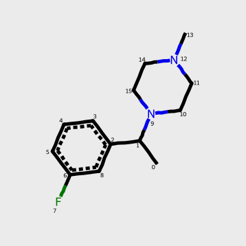 CC(c1cccc(F)c1)N1CCN(C)CC1